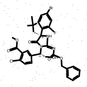 COC(=O)c1cc([C@@H](CO)N2C(=O)[C@@](CC(C)(C)C)(c3ccc(Br)cc3F)N/C2=N/C(=O)OCc2ccccc2)ccc1Cl